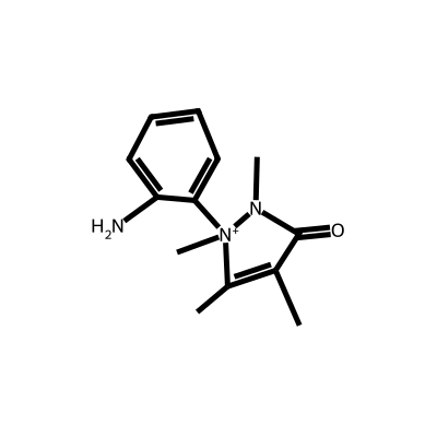 CC1=C(C)[N+](C)(c2ccccc2N)N(C)C1=O